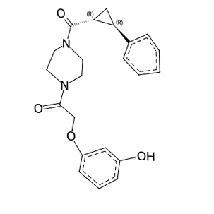 O=C(COc1cccc(O)c1)N1CCN(C(=O)[C@@H]2C[C@H]2c2ccccc2)CC1